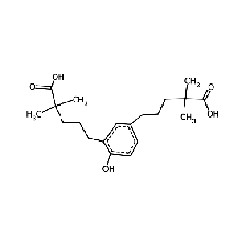 CC(C)(CCCc1ccc(O)c(CCCC(C)(C)C(=O)O)c1)C(=O)O